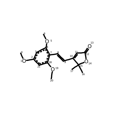 COc1cc(OC)c(C=CC2=CC(=O)OC2(C)C)c(OC)c1